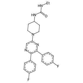 CCNC(=O)NC1CCN(c2cnc(-c3ccc(F)cc3)c(-c3ccc(F)cc3)n2)CC1